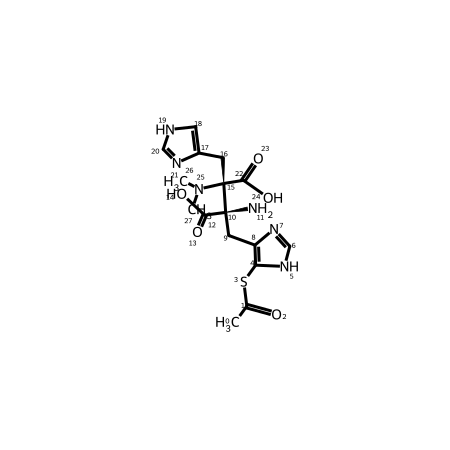 CC(=O)Sc1[nH]cnc1C[C@](N)(C(=O)O)[C@@](Cc1c[nH]cn1)(C(=O)O)N(C)C